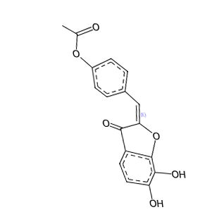 CC(=O)Oc1ccc(/C=C2/Oc3c(ccc(O)c3O)C2=O)cc1